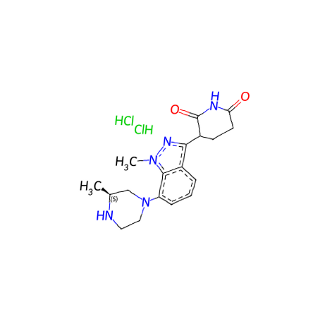 C[C@H]1CN(c2cccc3c(C4CCC(=O)NC4=O)nn(C)c23)CCN1.Cl.Cl